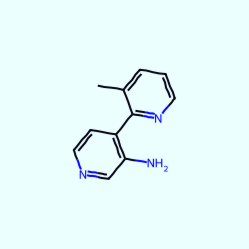 Cc1cccnc1-c1ccncc1N